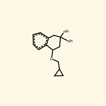 CCCC1(CCC)Cc2ccccc2C(OCC2CC2)C1